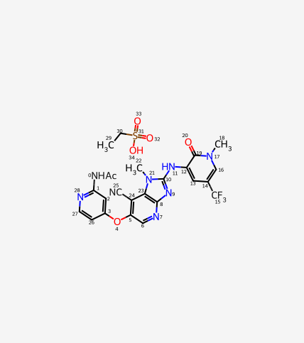 CC(=O)Nc1cc(Oc2cnc3nc(Nc4cc(C(F)(F)F)cn(C)c4=O)n(C)c3c2C#N)ccn1.CCS(=O)(=O)O